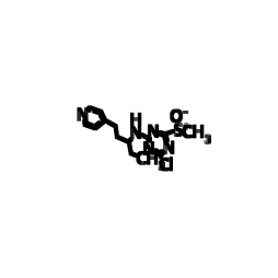 CCC(CCc1ccncc1)Nc1nc(Cl)nc([S+](C)[O-])n1